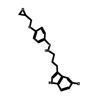 Clc1ccc2[nH]cc(CCCNSc3ccc(OCC4CO4)cc3)c2c1